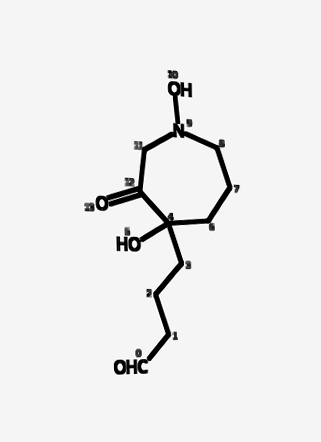 O=CCCCC1(O)CCCN(O)CC1=O